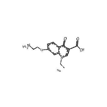 CCn1cc(C(=O)O)c(=O)c2ccc(OCCN)cc21.[Na]